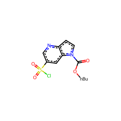 CCCCOC(=O)n1ccc2ncc(S(=O)(=O)Cl)cc21